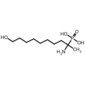 CC(N)(CCCCCCCCO)P(=O)(O)O